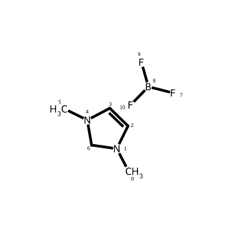 CN1C=CN(C)C1.FB(F)F